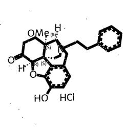 CO[C@@]12CCC(=O)[C@@H]3Oc4c(O)ccc5c4[C@@]31CCN(CCc1ccccc1)[C@@H]2C5.Cl